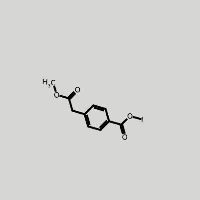 COC(=O)Cc1ccc(C(=O)OI)cc1